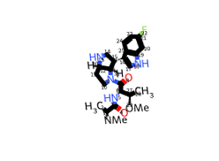 CN[C@@H](C)C(=O)N[C@H](C(=O)N1CC[C@H]2NC[C@H](c3c[nH]c4cc(F)ccc34)[C@H]21)[C@@H](C)OC